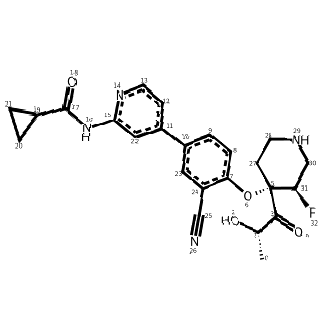 C[C@H](O)C(=O)[C@@]1(Oc2ccc(-c3ccnc(NC(=O)C4CC4)c3)cc2C#N)CCNC[C@H]1F